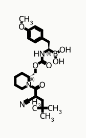 COc1ccc(C[C@H](NC(=O)OC[C@H]2CCCCN2C(=O)C(C#N)CC(C)(C)C)B(O)O)cc1